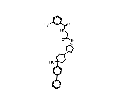 O=C(CNC(=O)c1cccc(C(F)(F)F)c1)N[C@@H]1CCN(C2CCC(O)(c3ccc(-c4cccnc4)cc3)CC2)C1